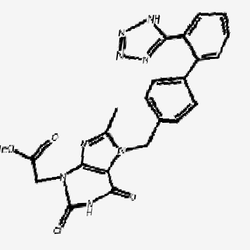 COC(=O)Cn1c(=O)[nH]c(=O)c2c1nc(C)n2Cc1ccc(-c2ccccc2-c2nnn[nH]2)cc1